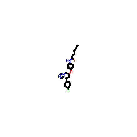 CCCCCCC(=S)Nc1ccc(OC(CCc2ccc(Cl)cc2)Cn2ccnc2)cc1